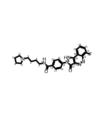 O=C(NCCCCN1CCCC1)c1ccc(-n2[nH]c3c(nnc4c(F)cccc43)c2=O)cc1